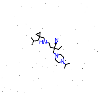 CCC(C#N)(CCNCC1(CC(C)C)CC1)CN1CCN(C(C)C)CC1